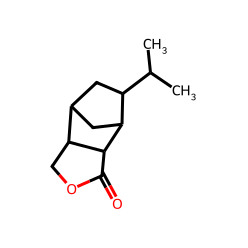 CC(C)C1CC2CC1C1C(=O)OCC21